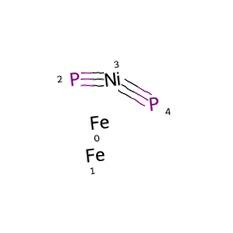 [Fe].[Fe].[P]#[Ni]#[P]